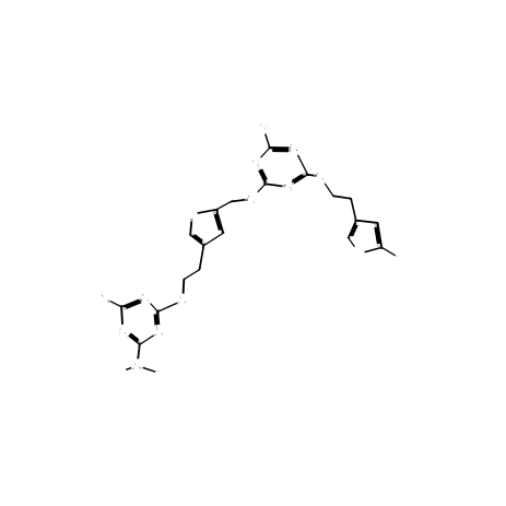 Cc1cc(CCNc2nc(N)nc(NCc3cc(CCNc4nc(N)nc(N(C)C)n4)cs3)n2)cs1